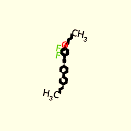 CCCCCOc1ccc(C#C[C@H]2CC[C@H]([C@H]3CC[C@H](CCCC)CC3)CC2)c(F)c1F